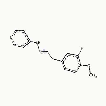 COc1ccc(C/C=N/Nc2ccncc2)cc1F